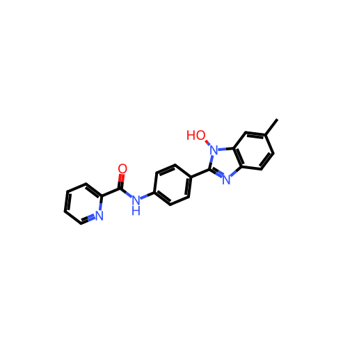 Cc1ccc2nc(-c3ccc(NC(=O)c4ccccn4)cc3)n(O)c2c1